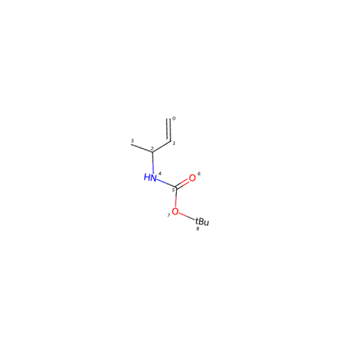 C=CC(C)NC(=O)OC(C)(C)C